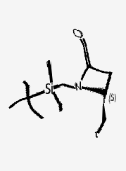 CC(C)(C)[Si](C)(C)N1C(=O)C[C@H]1CI